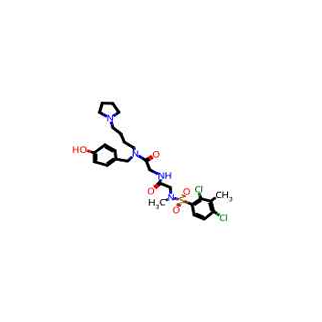 Cc1c(Cl)ccc(S(=O)(=O)N(C)CC(=O)NCC(=O)N(CCCCN2CCCC2)Cc2ccc(O)cc2)c1Cl